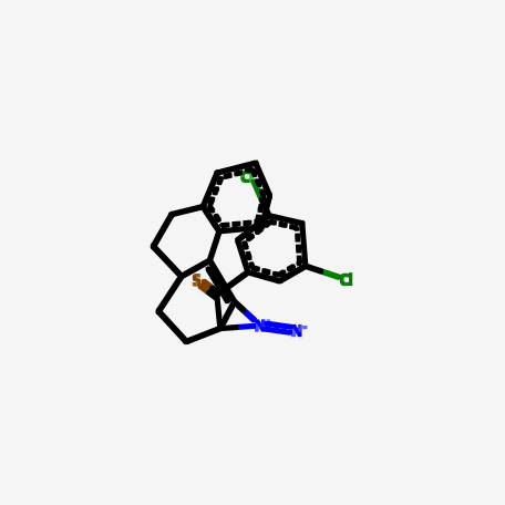 [N-]=[N+]1C2=C3c4ccccc4CCC3CCC21C(=S)c1cc(Cl)cc(Cl)c1